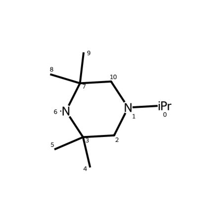 CC(C)N1CC(C)(C)[N]C(C)(C)C1